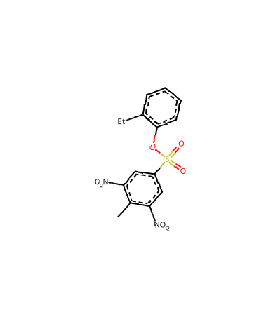 CCc1ccccc1OS(=O)(=O)c1cc([N+](=O)[O-])c(C)c([N+](=O)[O-])c1